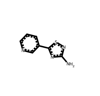 Nc1nsc(-c2cccnc2)n1